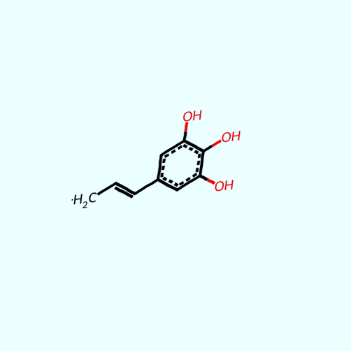 [CH2]C=Cc1cc(O)c(O)c(O)c1